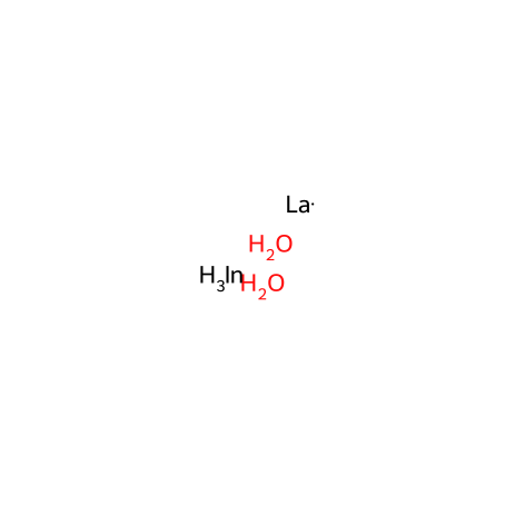 O.O.[InH3].[La]